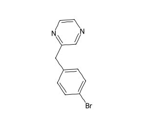 Brc1ccc(Cc2cnccn2)cc1